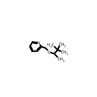 CC(OCc1ccccn1)C(C)(C)C